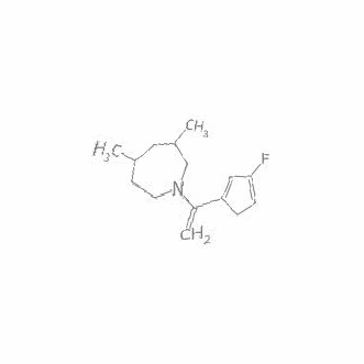 C=C(C1=CC(F)=CC1)N1CCC(C)CC(C)C1